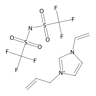 C=CC[n+]1ccn(C=C)c1.O=S(=O)([N-]S(=O)(=O)C(F)(F)F)C(F)(F)F